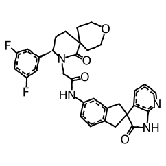 O=C(CN1C(=O)C2(CCOCC2)CC[C@@H]1c1cc(F)cc(F)c1)Nc1ccc2c(c1)CC1(C2)C(=O)Nc2ncccc21